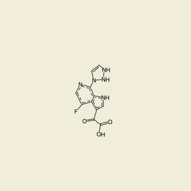 O=C(O)C(=O)c1c[nH]c2c(N3C=CNN3)ncc(F)c12